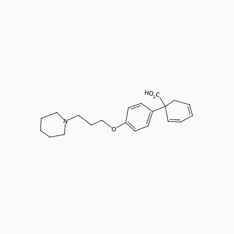 O=C(O)C1(c2ccc(OCCCN3CCCCC3)cc2)C=CC=CC1